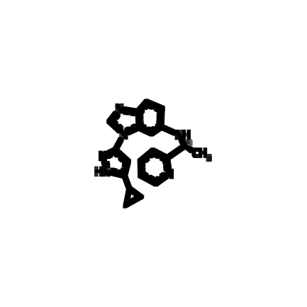 C[C@H](Nc1ccc2ncn(-c3cc(C4CC4)[nH]n3)c2c1)c1ccccn1